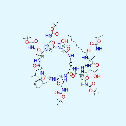 CCCCCCCC(=O)N[C@@H](CCNC(=O)OC(C)(C)C)C(=O)NC(C(=O)N[C@@H](CCNC(=O)OC(C)(C)C)C(=O)NC1CCNC(=O)[C@H]([C@@H](C)O)NC(=O)[C@H](CCNC(=O)OC(C)(C)C)NC(=O)[C@H](CCNC(=O)OC(C)(C)C)NC(=O)[C@H](CC(C)C)NC(=O)[C@@H](Cc2ccccc2)NC(=O)[C@H](CCNC(=O)OC(C)(C)C)NC1=O)C(C)O